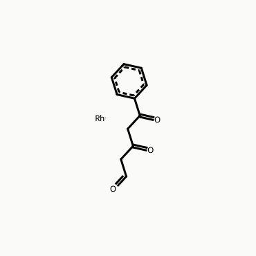 O=CCC(=O)CC(=O)c1ccccc1.[Rh]